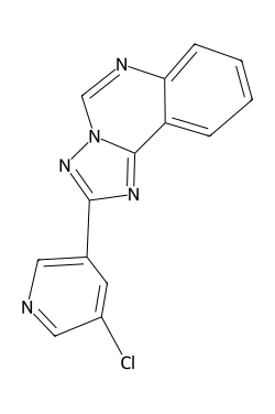 Clc1cncc(-c2nc3c4ccccc4ncn3n2)c1